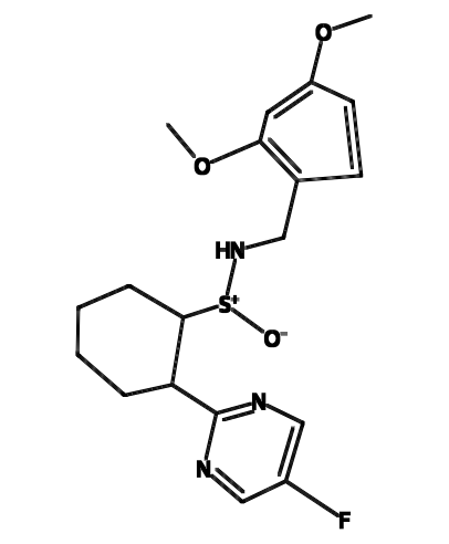 COc1ccc(CN[S+]([O-])C2CCCCC2c2ncc(F)cn2)c(OC)c1